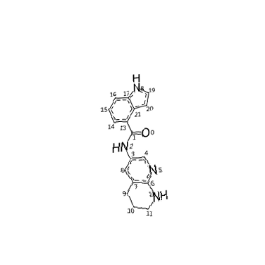 O=C(Nc1cnc2c(c1)CCCN2)c1cccc2[nH]ccc12